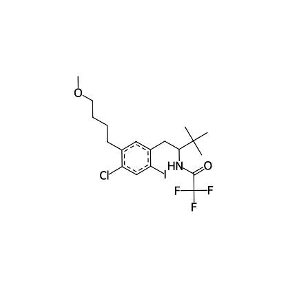 COCCCCc1cc(CC(NC(=O)C(F)(F)F)C(C)(C)C)c(I)cc1Cl